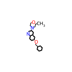 CC1CN(c2cnc3ccc(OCc4ccccc4)cc3c2)CCO1